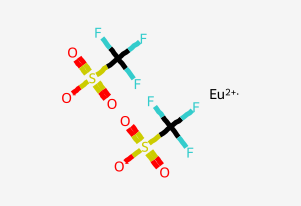 O=S(=O)([O-])C(F)(F)F.O=S(=O)([O-])C(F)(F)F.[Eu+2]